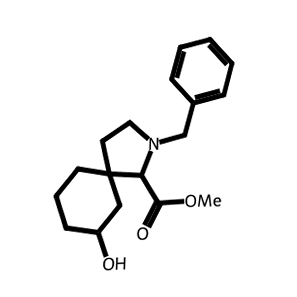 COC(=O)C1N(Cc2ccccc2)CCC12CCCC(O)C2